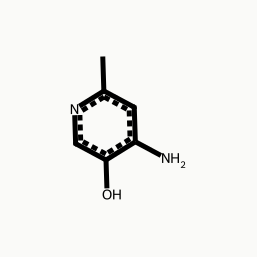 Cc1cc(N)c(O)cn1